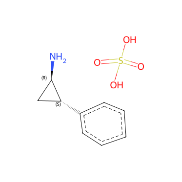 N[C@@H]1C[C@H]1c1ccccc1.O=S(=O)(O)O